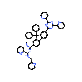 C=N/C(=N\C(=N/Cc1ccccn1)c1ccccn1)c1ccc2c(c1)C(c1ccccc1)(c1ccccc1)c1cc(-c3nc(-c4ccccn4)nc(-c4ccccn4)n3)ccc1-2